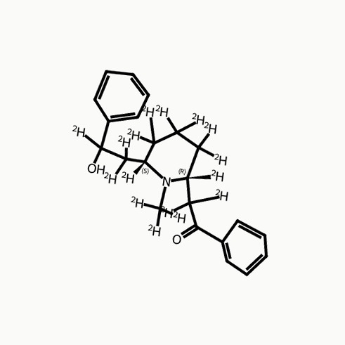 [2H]C([2H])([2H])N1[C@]([2H])(C([2H])([2H])C([2H])(O)c2ccccc2)C([2H])([2H])C([2H])([2H])C([2H])([2H])[C@]1([2H])C([2H])([2H])C(=O)c1ccccc1